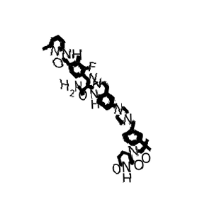 Cc1cccc(NC(=O)c2ccc(-c3nn4c(c3C(N)=O)Nc3ccc(N5CCN(Cc6ccc7c(c6)C(C)(C)C(=O)N7C6CCC(=O)NC6=O)CC5)cc3CC4)c(F)c2C)n1